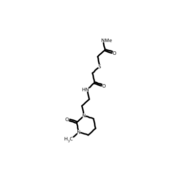 CNC(=O)CSCC(=O)NCCN1CCCN(C)C1=O